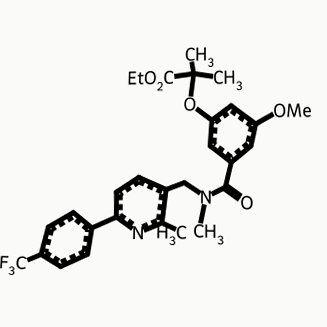 CCOC(=O)C(C)(C)Oc1cc(OC)cc(C(=O)N(C)Cc2ccc(-c3ccc(C(F)(F)F)cc3)nc2C)c1